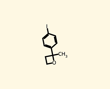 CC1(c2ccc(I)cc2)CCO1